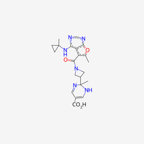 Cc1oc2ncnc(NC3(C)CC3)c2c1C(=O)N1CC(C2(C)N=CC(C(=O)O)=CN2)C1